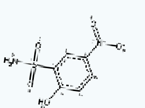 NS(=O)(=O)c1cc([N+](=O)[O-])ccc1O